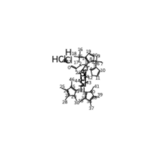 C=C[CH2][Zr]([C]1=C(C(C)(C)C)C=CC1)([C]1=C(C(C)(C)C)C=CC1)[SiH](C)C.CC1=C(C)C(C)[C]([Ti]([C]2=C(C)C(C)=C(C)C2C)[SiH](C)C)=C1C.Cl.Cl